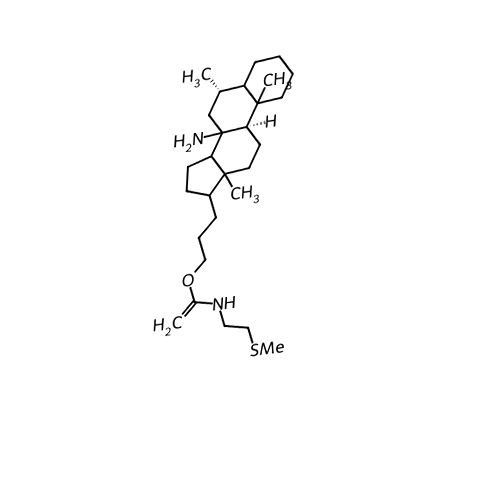 C=C(NCCSC)OCCCC1CCC2C1(C)CC[C@@H]1C3(C)CCCCC3[C@@H](C)CC21N